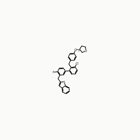 Fc1ccc(-c2cc[c]c(Cl)c2Cc2ccc(O[C@H]3CCOC3)cc2)cc1Cc1cc2ccccc2s1